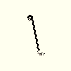 CCCSCCCCCCCCCCCCCc1cccs1